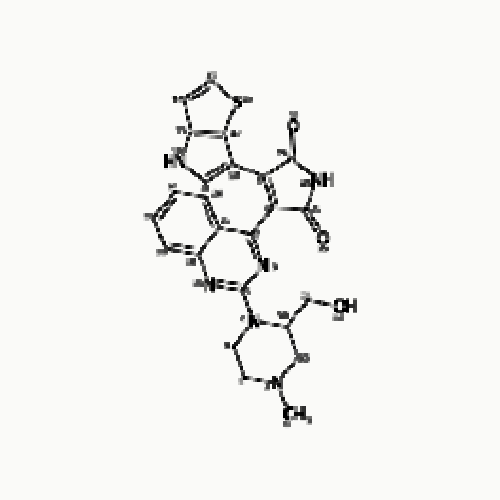 CN1CCN(c2nc(C3=C(c4c[nH]c5ccsc45)C(=O)NC3=O)c3ccccc3n2)C(CO)C1